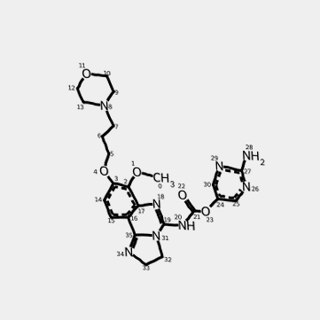 COc1c(OCCCN2CCOCC2)ccc2c1N=C(NC(=O)Oc1cnc(N)nc1)N1CCN=C21